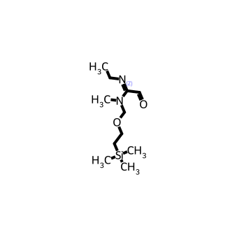 CC/N=C(/C=O)N(C)COCC[Si](C)(C)C